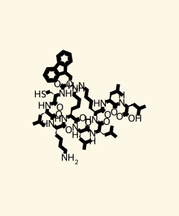 CC(C)C[C@H](NC(=O)[C@H](CC(C)C)NC(=O)[C@H](CCCCN)NC(=O)[C@H](CC(C)C)NC(=O)[C@H](CC(C)C)NC(=O)[C@H](CCCCN)NC(=O)[C@H](CCCCN)NC(=O)[C@H](CC(C)C)NC(=O)[C@H](CS)NC(=O)OCC1c2ccccc2-c2ccccc21)C(=O)O